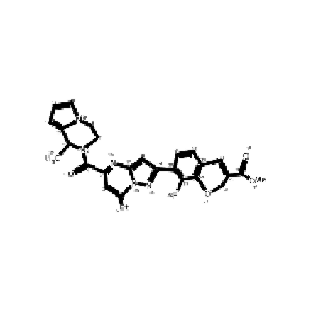 CCc1cc(C(=O)N2CCn3cccc3C2C)nc2cc(-c3ccc4c(c3F)OCC(C(=O)OC)=C4)nn12